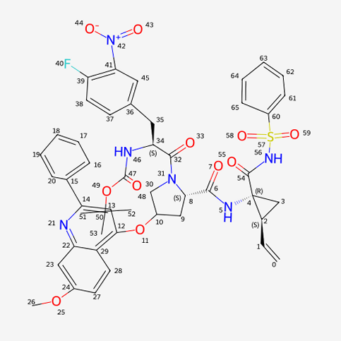 C=C[C@@H]1C[C@]1(NC(=O)[C@@H]1CC(Oc2cc(-c3ccccc3)nc3cc(OC)ccc23)CN1C(=O)[C@H](Cc1ccc(F)c([N+](=O)[O-])c1)NC(=O)OC(C)(C)C)C(=O)NS(=O)(=O)c1ccccc1